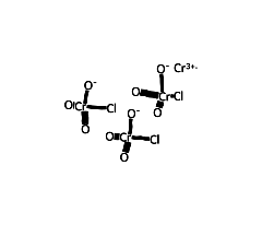 [Cr+3].[O]=[Cr](=[O])([O-])[Cl].[O]=[Cr](=[O])([O-])[Cl].[O]=[Cr](=[O])([O-])[Cl]